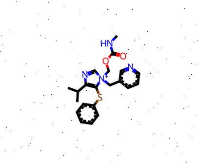 CNC(=O)OC[N+]1(Cc2cccnc2)C=NC(C(C)C)=C1Sc1ccccc1